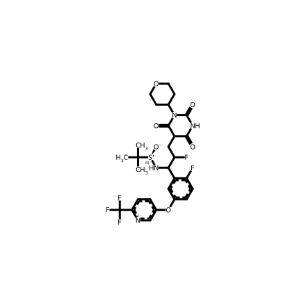 CC(C)(C)[S@@+]([O-])NC(c1cc(Oc2ccc(C(F)(F)F)nc2)ccc1F)C(F)CC1C(=O)NC(=O)N(C2CCOCC2)C1=O